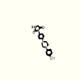 O=C1CNC(=O)N1c1ccc(N2CCN(c3ccc(O)cc3)CC2)cc1